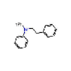 CCCN(CCc1ccccc1)c1ccccc1